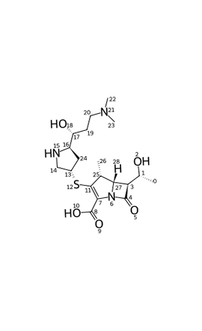 C[C@@H](O)[C@H]1C(=O)N2C(C(=O)O)=C(S[C@@H]3CN[C@@H]([C@H](O)CCN(C)C)C3)[C@H](C)[C@H]12